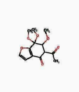 COC1C(C(C)=O)C(=O)c2ccoc2C1(OC)OC